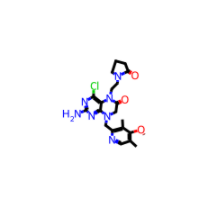 COc1c(C)cnc(CN2CC(=O)N(CCN3CCCC3=O)c3c(Cl)nc(N)nc32)c1C